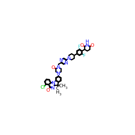 CC1(C)c2ccc(N3CCN(Cc4cnc(N5CCC(c6cc(F)c(C7CCC(=O)NC7=O)c(F)c6)CC5)cn4)C(=O)C3)cc2-n2c1nc(=O)c1c(Cl)cccc12